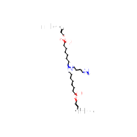 CCCCCC/C=C/COC(=O)CCCCCCCN(CCCCCCCC(=O)OC/C=C/CCCCCC)CCCCN(C)C